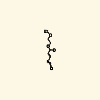 CCOCCOC(=O)C=CN=C=O